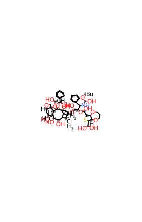 C[C@@H](O)O[C@@]12CO[C@@H]1C[C@H](O)[C@@]1(C)[C@H](O)[C@H](O)C3[C@H](C)[C@@H](O[C@H](O)[C@H](O[C@@H](O)[C@H]4SC(C(O)O)[C@H]5OCCCOC54)C(N[C@H](O)OC(C)(C)C)c4ccccc4)C[C@@](O)([C@@H](O[C@@H](O)c4ccccc4)[C@H]21)C3(C)C